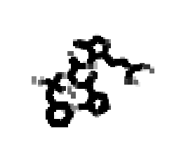 Cc1occc1C(=O)N[C@@H](CC(C)(C)Cc1ccccc1)C(=O)NC1C(=O)COC1CCN(C)C